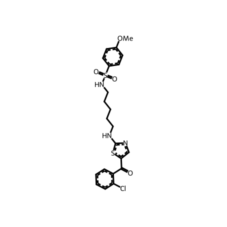 COc1ccc(S(=O)(=O)NCCCCCNc2ncc(C(=O)c3ccccc3Cl)s2)cc1